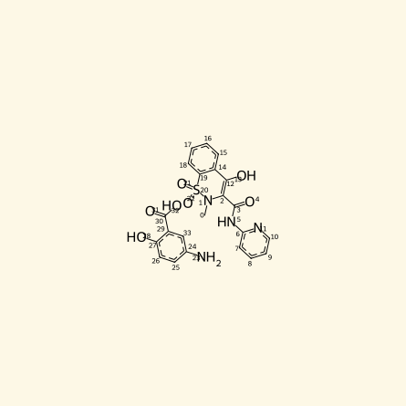 CN1C(C(=O)Nc2ccccn2)=C(O)c2ccccc2S1(=O)=O.Nc1ccc(O)c(C(=O)O)c1